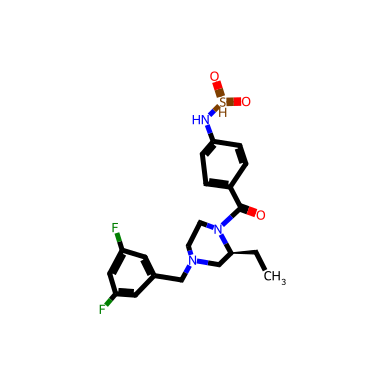 CC[C@H]1CN(Cc2cc(F)cc(F)c2)CCN1C(=O)c1ccc(N[SH](=O)=O)cc1